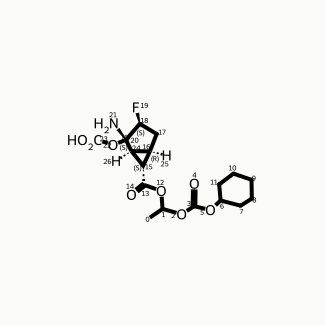 CC(OC(=O)OC1CCCCC1)OC(=O)[C@H]1[C@@H]2C[C@H](F)[C@@](N)(OC(=O)O)[C@@H]21